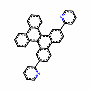 c1ccc(-c2ccc3c4ccc(-c5ccccn5)cc4c4c5ccccc5c5ccccc5c4c3c2)nc1